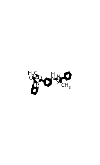 COC(=O)[C@H](Cc1ccccc1)NC(=O)c1cccc(Nc2nc(-c3ccccc3)c(C)s2)c1